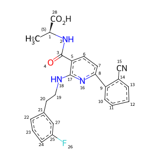 C[C@H](NC(=O)c1ccc(-c2ccccc2C#N)nc1NCCc1cccc(F)c1)C(=O)O